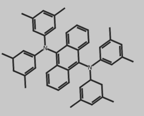 CC1=CC(N(c2cc(C)cc(C)c2)c2c3ccccc3c(N(C3=CC(C)CC(C)=C3)c3cc(C)cc(C)c3)c3ccccc23)CC(C)=C1